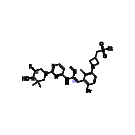 C=N/C(=C\c1c(C(C)C)ccc(N2CC(CS(=O)(=O)CC)C2)c1C)Nc1ccnc(N2C[C@H](F)[C@H](O)C(C)(C)C2)n1